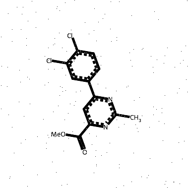 COC(=O)c1cc(-c2ccc(Cl)c(Cl)c2)nc(C)n1